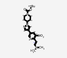 CN(C)/C=C/c1ncc(-c2cnn(C3CCN(C(=O)OC(C)(C)C)CC3)c2)cc1[N+](=O)[O-]